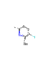 CCC(C)c1nc(C)ccc1F